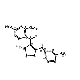 COc1cc(C#N)ccc1C(C)C1=C(Nc2cccc(C(F)(F)F)c2)CCC1=O